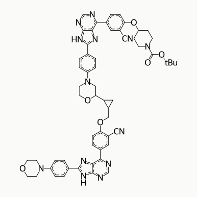 CC(C)(C)OC(=O)N1CCC(Oc2ccc(-c3ncnc4[nH]c(-c5ccc(N6CCOC(C7CC7COc7ccc(-c8ncnc9[nH]c(-c%10ccc(N%11CCOCC%11)cc%10)nc89)cc7C#N)C6)cc5)nc34)cc2C#N)CC1